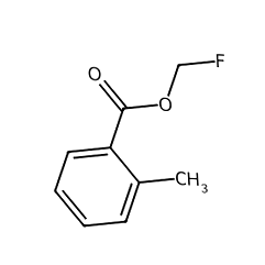 Cc1ccccc1C(=O)OCF